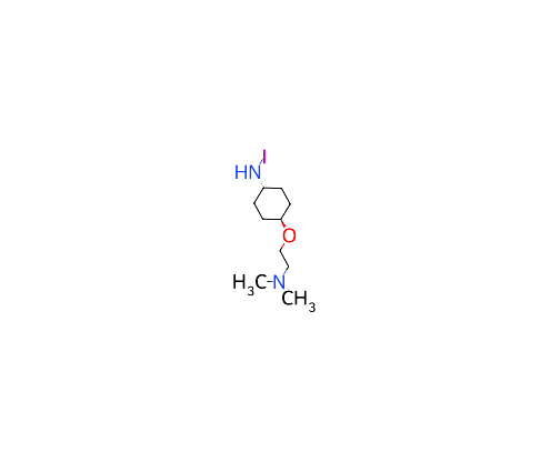 CN(C)CCO[C@H]1CC[C@H](NI)CC1